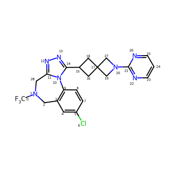 FC(F)(F)N1Cc2cc(Cl)ccc2-n2c(nnc2C2CC3(C2)CN(c2ncccn2)C3)C1